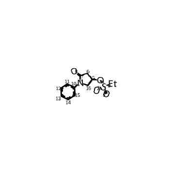 CCS(=O)(=O)OC1CC(=O)N(c2ccccc2)C1